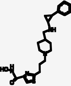 O=C(NO)c1csc(CCCN2CCC(CNC3CC3c3ccccc3)CC2)n1